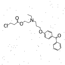 CCN(CCCOc1ccc(C(=O)c2ccccc2)cc1)CCOC(=O)CCCl